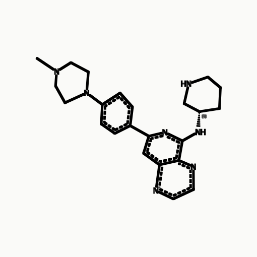 CN1CCN(c2ccc(-c3cc4nccnc4c(N[C@H]4CCCNC4)n3)cc2)CC1